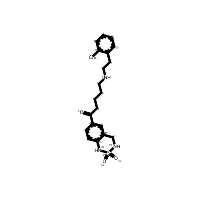 O=C(CCCCNCCc1ccccc1Cl)c1ccc2c(c1)CNS(=O)(=O)N2